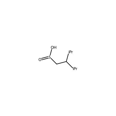 CC(C)C(CS(=O)O)C(C)C